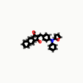 O=C1C(=Cc2ccc(N(c3ccccc3)c3ccco3)cc2)C(=O)c2cc3ccccc3cc21